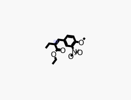 CCOC(=O)/C(=C\c1ccc(OC)c([N+](=O)[O-])c1)CC